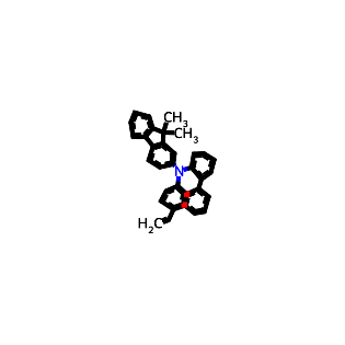 C=Cc1ccc(N(c2ccc3c(c2)C(C)(C)c2ccccc2-3)c2ccccc2-c2ccccc2)cc1